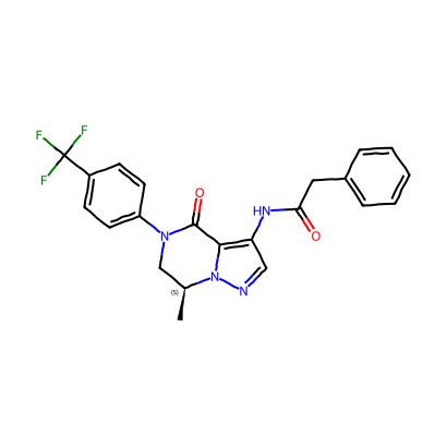 C[C@H]1CN(c2ccc(C(F)(F)F)cc2)C(=O)c2c(NC(=O)Cc3ccccc3)cnn21